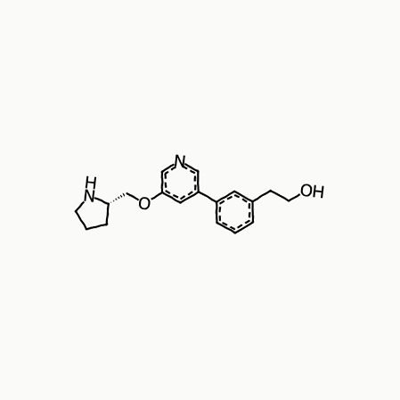 OCCc1cccc(-c2cncc(OC[C@@H]3CCCN3)c2)c1